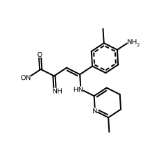 CC1=NC(N/C(=C\C(=N)C(=O)N=O)c2ccc(N)c(C)c2)=CCC1